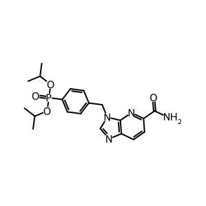 CC(C)OP(=O)(OC(C)C)c1ccc(Cn2cnc3ccc(C(N)=O)nc32)cc1